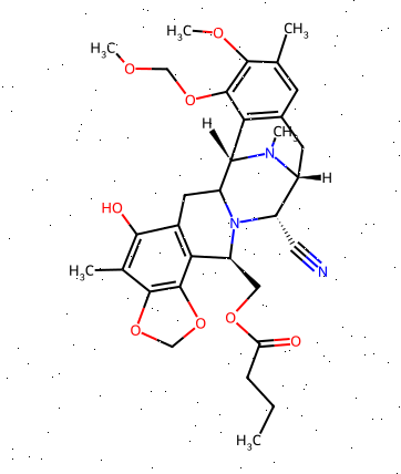 CCCC(=O)OC[C@H]1c2c(c(O)c(C)c3c2OCO3)CC2[C@@H]3c4c(cc(C)c(OC)c4OCOC)C[C@H]([C@H](C#N)N21)N3C